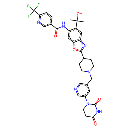 CC(C)(O)c1cc2nc(C3CCN(Cc4cncc(N5CCC(=O)NC5=O)c4)CC3)oc2cc1NC(=O)c1ccc(C(F)(F)F)nc1